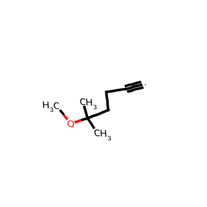 [C]#CCCC(C)(C)OC